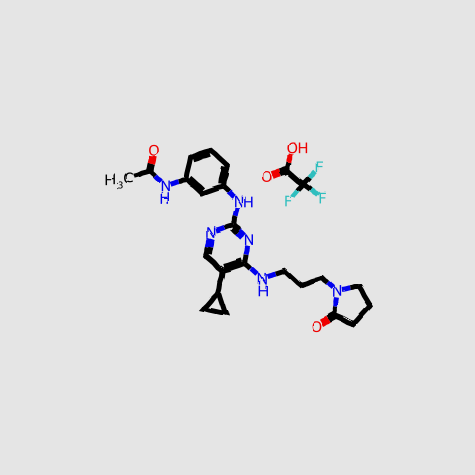 CC(=O)Nc1cccc(Nc2ncc(C3CC3)c(NCCCN3CCCC3=O)n2)c1.O=C(O)C(F)(F)F